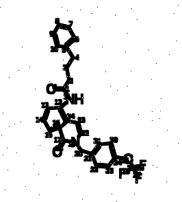 O=C(CCCc1ccccc1)Nc1cccc2c(=O)n(Cc3ccc(OC(F)(F)F)cc3)ccc12